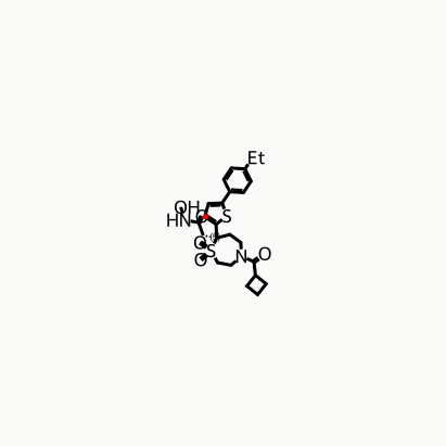 CCc1ccc(-c2ccc([C@@]3(CC(=O)NO)CCN(C(=O)C4CCC4)CCS3(=O)=O)s2)cc1